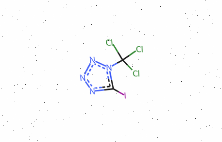 ClC(Cl)(Cl)n1nnnc1I